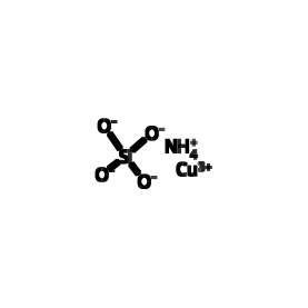 [Cu+3].[NH4+].[O-][Si]([O-])([O-])[O-]